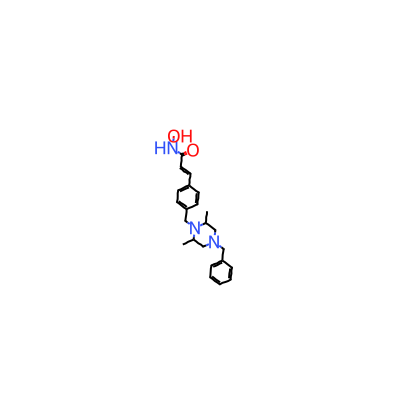 CC1CN(Cc2ccccc2)CC(C)N1Cc1ccc(/C=C/C(=O)NO)cc1